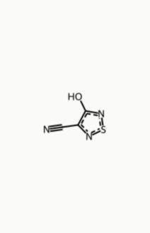 N#Cc1nsnc1O